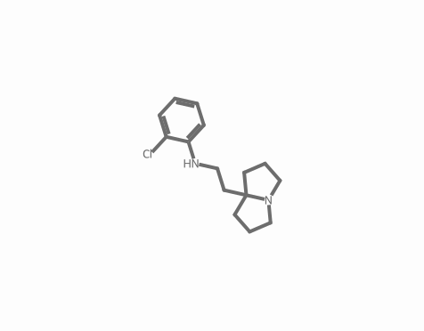 Clc1ccccc1NCCC12CCCN1CCC2